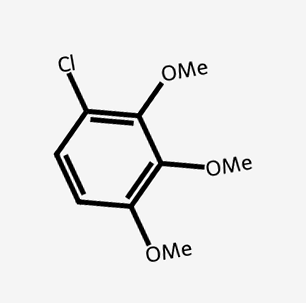 COc1ccc(Cl)c(OC)c1OC